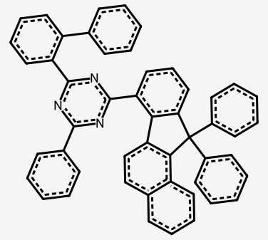 c1ccc(-c2nc(-c3ccccc3-c3ccccc3)nc(-c3cccc4c3-c3ccc5ccccc5c3C4(c3ccccc3)c3ccccc3)n2)cc1